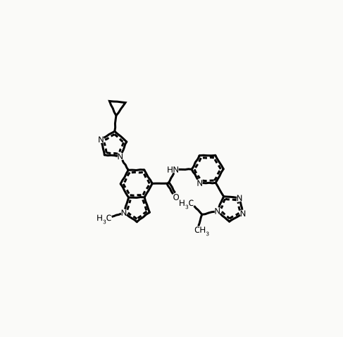 CC(C)n1cnnc1-c1cccc(NC(=O)c2cc(-n3cnc(C4CC4)c3)cc3c2ccn3C)n1